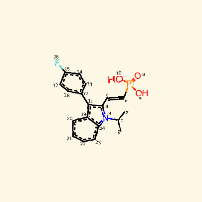 CC(C)n1c(/C=C/P(=O)(O)O)c(-c2ccc(F)cc2)c2ccccc21